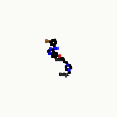 CCOC(=O)CN1CCN(CCCCOc2cc3c(Nc4cccc(Br)c4)ncnc3cc2OC)CC1